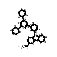 C=Cc1ccc2c(c1)c1ccccc1n2-c1cccc(-c2cc(-c3ccccc3)cc(-c3ccccc3)n2)c1